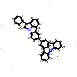 c1ccc2c(c1)sc1c2c2cccc3c4cc(-c5cc6c7ccccc7n7c8ccccc8c(c5)c67)ccc4n1c32